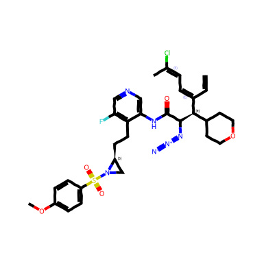 C=C/C(=C\C=C(/C)Cl)[C@@H](C1CCOCC1)C(N=[N+]=[N-])C(=O)Nc1cncc(F)c1CC[C@H]1CN1S(=O)(=O)c1ccc(OC)cc1